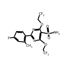 Cc1cc(F)ccc1-c1nc(OCC(F)(F)F)c(S(N)(=O)=O)c(OCC(F)(F)F)n1